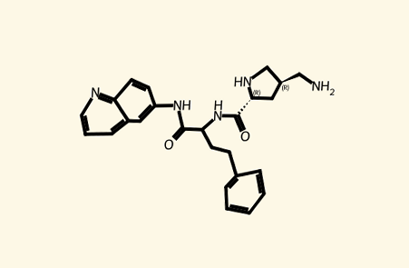 NC[C@@H]1CN[C@@H](C(=O)NC(CCc2ccccc2)C(=O)Nc2ccc3ncccc3c2)C1